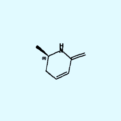 C=C1C=CC[C@@H](C)N1